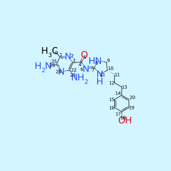 Cc1nc(C(=O)/N=C2\NC[C@H](CCCc3ccc(O)cc3)N2)c(N)nc1N